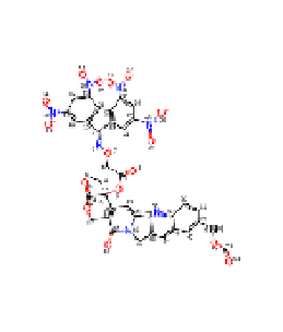 CC[C@@]1(OC(=O)CON=C2c3cc([N+](=O)[O-])cc([N+](=O)[O-])c3-c3c2cc([N+](=O)[O-])cc3[N+](=O)[O-])C(=O)OCc2c1cc1n(c2=O)Cc2cc3cc(BOC=O)ccc3nc2-1